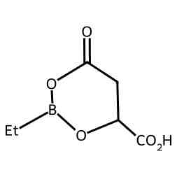 CCB1OC(=O)CC(C(=O)O)O1